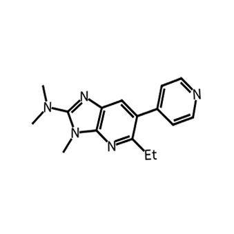 CCc1nc2c(cc1-c1ccncc1)nc(N(C)C)n2C